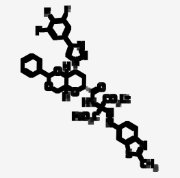 CCOC(=O)C(/N=N/c1ccc2nc(C)sc2c1)(NC(=O)[C@H]1C[C@@H](n2cc(-c3cc(F)c(F)c(F)c3)nn2)[C@H]2OC(c3ccccc3)OC[C@H]2O1)C(=O)OCC